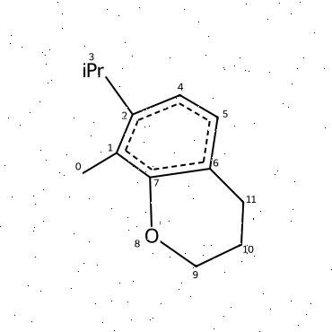 Cc1c(C(C)C)ccc2c1OCCC2